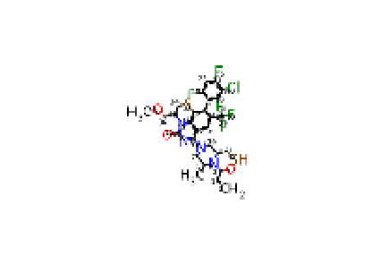 C=CC(=O)N1C(C)CN(c2nc(=O)n3c4c(c(-c5cc(Cl)c(F)cc5F)c(C(F)(F)F)cc24)SC[C@@H]3COC)CC1CS